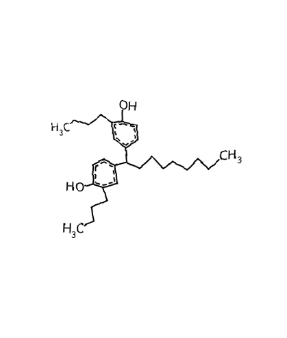 CCCCCCCCC(c1ccc(O)c(CCCC)c1)c1ccc(O)c(CCCC)c1